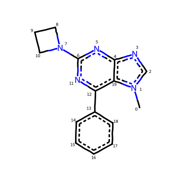 Cn1cnc2nc(N3CCC3)nc(-c3ccccc3)c21